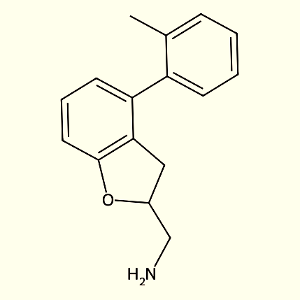 Cc1ccccc1-c1cccc2c1CC(CN)O2